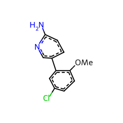 COc1ccc(Cl)cc1-c1ccc(N)nc1